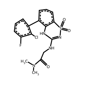 CN(C)C(=O)CNC1=NS(=O)(=O)c2cccc(-c3cccc(F)c3Cl)c2N1